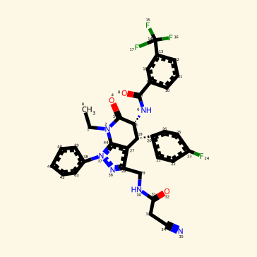 CCN1C(=O)[C@H](NC(=O)c2cccc(C(F)(F)F)c2)[C@H](c2ccc(F)cc2)c2c(CNC(=O)CC#N)nn(-c3ccccc3)c21